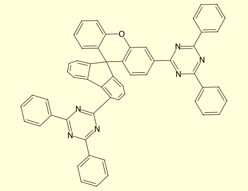 c1ccc(-c2nc(-c3ccccc3)nc(-c3ccc4c(c3)Oc3ccccc3C43c4ccccc4-c4c(-c5nc(-c6ccccc6)nc(-c6ccccc6)n5)cccc43)n2)cc1